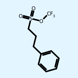 O=S(=O)(CCCc1ccccc1)OC(F)(F)F